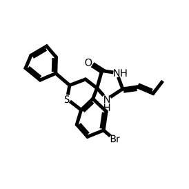 CC=C=C1NC(=O)C2(CC(c3ccccc3)Sc3ccc(Br)cc32)N1